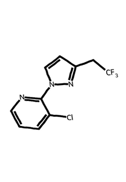 FC(F)(F)Cc1ccn(-c2ncccc2Cl)n1